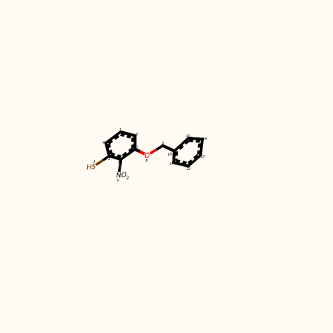 O=[N+]([O-])c1c(S)cccc1OCc1ccccc1